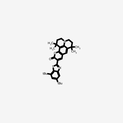 CC(C)(C)c1cc(C(C)(C)C)c2sc(-c3cc4cc5c6c(c4oc3=O)C(C)(C)CCN6CCC5(C)C)nc2c1